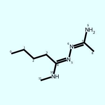 CCCC/C(=N\N=C(/C)N)NC